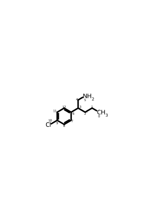 CC[CH]C(CN)c1ccc(Cl)cc1